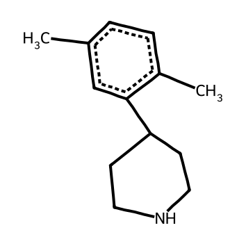 Cc1ccc(C)c(C2CCNCC2)c1